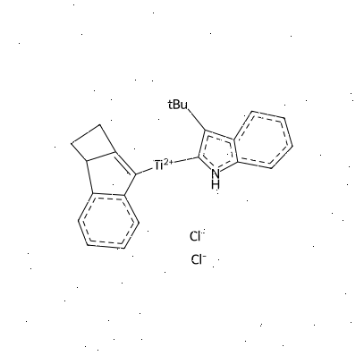 CC(C)(C)c1[c]([Ti+2][C]2=C3CCC3c3ccccc32)[nH]c2ccccc12.[Cl-].[Cl-]